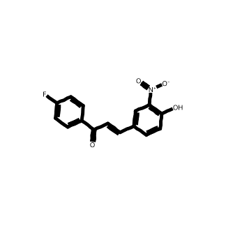 O=C(/C=C/c1ccc(O)c([N+](=O)[O-])c1)c1ccc(F)cc1